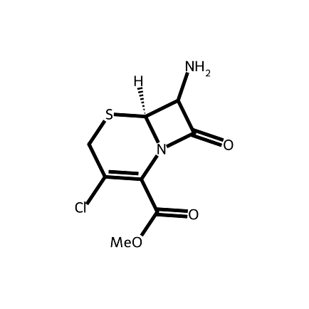 COC(=O)C1=C(Cl)CS[C@H]2C(N)C(=O)N12